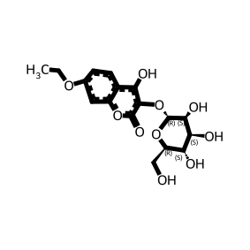 CCOc1ccc2c(O)c(O[C@H]3O[C@H](CO)[C@@H](O)[C@H](O)[C@@H]3O)c(=O)oc2c1